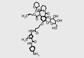 C=CCOC(=O)N1c2cc(OCCCC(=O)Nc3cc(C(=O)Nc4ccc(N)cc4)n(C)c3)c(O[C@@H]3O[C@H](CO)[C@H](O)[C@H](O)[C@H]3O)cc2C(=O)N2CCCC[C@H]2C1OC1CCCCO1